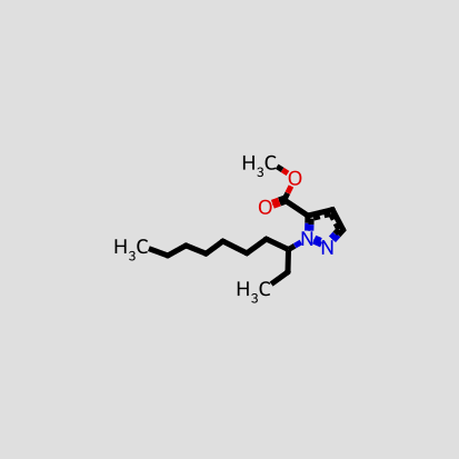 CCCCCCCC(CC)n1nccc1C(=O)OC